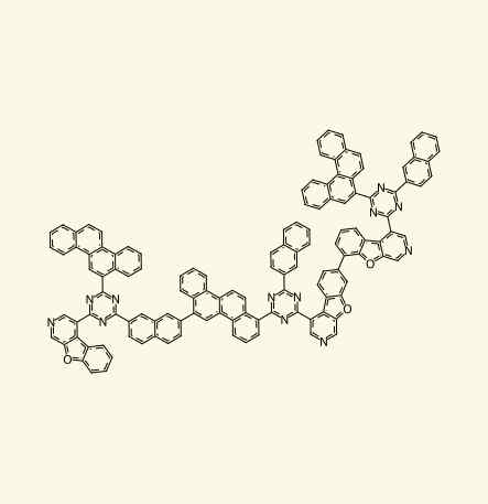 c1ccc2cc(-c3nc(-c4cccc5c4ccc4c6ccccc6c(-c6ccc7ccc(-c8nc(-c9cc%10c%11ccccc%11ccc%10c%10ccccc9%10)nc(-c9cncc%10oc%11ccccc%11c9%10)n8)cc7c6)cc54)nc(-c4cncc5oc6cc(-c7cccc8c7oc7cncc(-c9nc(-c%10ccc%11ccccc%11c%10)nc(-c%10cc%11ccccc%11c%11c%10ccc%10ccccc%10%11)n9)c78)ccc6c45)n3)ccc2c1